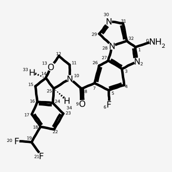 Nc1nc2cc(F)c(C(=O)N3CCO[C@@H]4Cc5cc(C(F)F)ccc5[C@@H]43)cc2n2cncc12